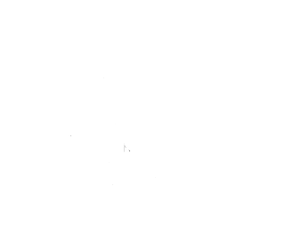 Cc1ccc2c(c1)Oc1c(C)csc1N2c1c(C)cc(C(C)(C)C)cc1C